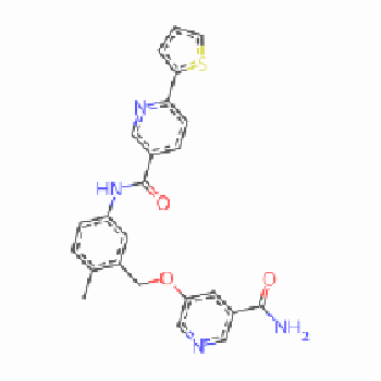 Cc1ccc(NC(=O)c2ccc(-c3cccs3)nc2)cc1COc1cncc(C(N)=O)c1